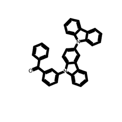 O=C(c1ccccc1)c1cccc(-n2c3ccccc3c3cc(-n4c5ccccc5c5ccccc54)ccc32)c1